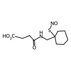 O=NSC1(CNC(=O)CCC(=O)O)CCCCC1